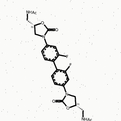 CC(=O)NC[C@H]1CN(c2ccc(-c3ccc(N4C[C@H](CNC(C)=O)OC4=O)cc3F)c(F)c2)C(=O)O1